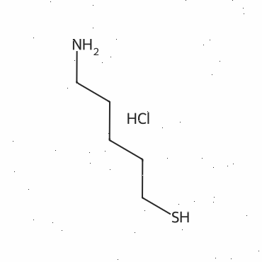 Cl.NCCCCCS